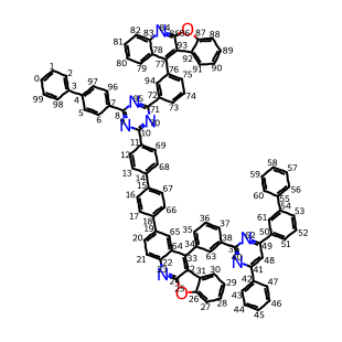 c1ccc(-c2ccc(-c3nc(-c4ccc(-c5ccc(-c6ccc7nc8oc9ccccc9c8c(-c8cccc(-c9nc(-c%10ccccc%10)cc(-c%10cccc(-c%11ccccc%11)c%10)n9)c8)c7c6)cc5)cc4)nc(-c4cccc(-c5c6ccccc6nc6oc7ccccc7c56)c4)n3)cc2)cc1